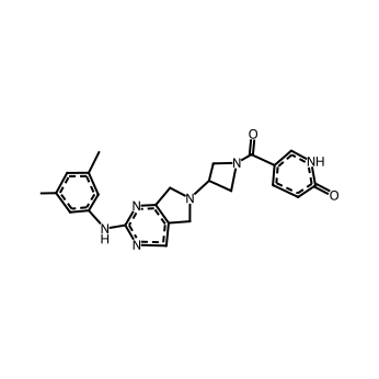 Cc1cc(C)cc(Nc2ncc3c(n2)CN(C2CN(C(=O)c4ccc(=O)[nH]c4)C2)C3)c1